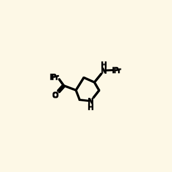 CC(C)NC1CNCC(C(=O)C(C)C)C1